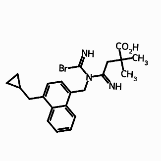 CC(C)(CC(=N)N(Cc1ccc(CC2CC2)c2ccccc12)C(=N)Br)C(=O)O